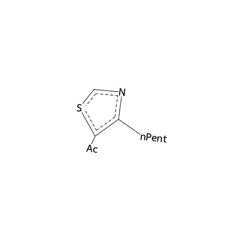 CCCCCc1ncsc1C(C)=O